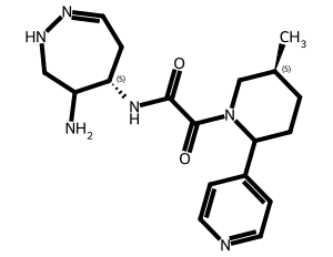 C[C@H]1CCC(c2ccncc2)N(C(=O)C(=O)N[C@H]2CC=NNCC2N)C1